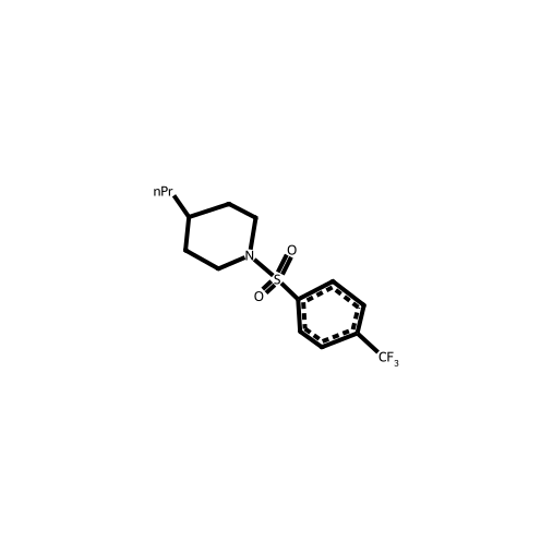 [CH2]CCC1CCN(S(=O)(=O)c2ccc(C(F)(F)F)cc2)CC1